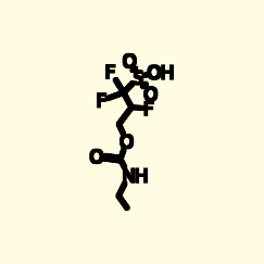 CCNC(=O)OCC(F)C(F)(F)S(=O)(=O)O